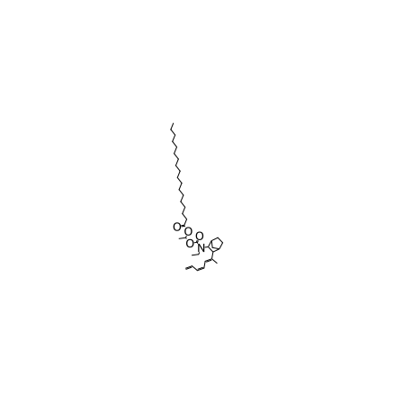 C=C/C=C\C=C(/C)C1C2CCC(C2)C1N(CC)C(=O)OC(C)OC(=O)CCCCCCCCCCCCCCCCC